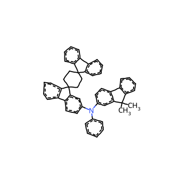 CC1(C)c2ccccc2-c2ccc(N(c3ccccc3)c3ccc4c(c3)C3(CCC5(CC3)c3ccccc3-c3ccccc35)c3ccccc3-4)cc21